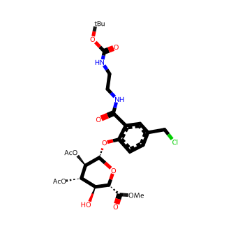 COC(=O)[C@H]1O[C@@H](Oc2ccc(CCl)cc2C(=O)NCCNC(=O)OC(C)(C)C)[C@H](OC(C)=O)[C@@H](OC(C)=O)[C@@H]1O